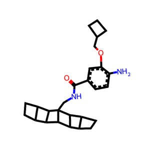 Nc1ccc(C(=O)NCC23C4C5CCC5C4C2C2C4CCC4C23)cc1OCC1CCC1